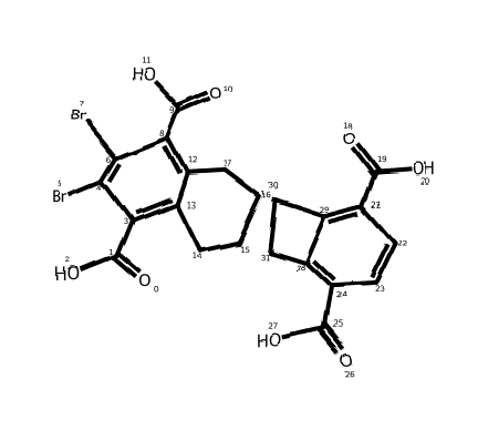 O=C(O)c1c(Br)c(Br)c(C(=O)O)c2c1CCCC2.O=C(O)c1ccc(C(=O)O)c2c1CC2